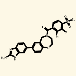 CCc1c(C(=O)N2CCOc3ccc(-c4ccc5nc(N)[nH]c5c4)cc3C2)ccc(S(=O)(=O)CC)c1F